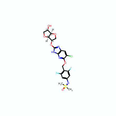 CS(C)(=O)=Nc1cc(F)c(COc2nc3[nH]c(O[C@@H]4CO[C@H]5[C@@H]4OC[C@H]5O)nc3cc2Cl)c(F)c1